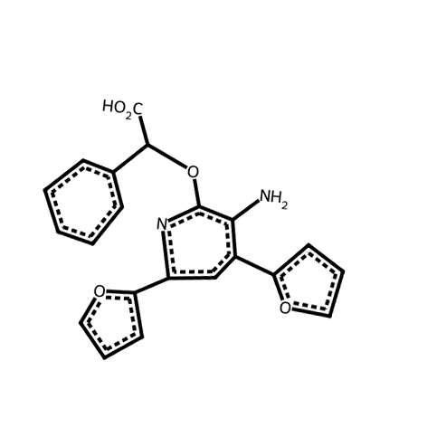 Nc1c(-c2ccco2)cc(-c2ccco2)nc1OC(C(=O)O)c1ccccc1